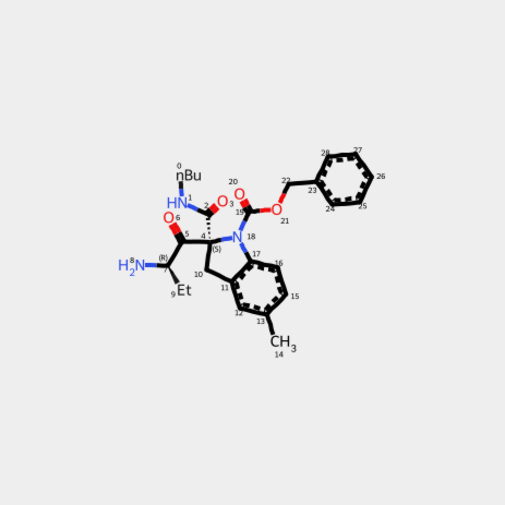 CCCCNC(=O)[C@@]1(C(=O)[C@H](N)CC)Cc2cc(C)ccc2N1C(=O)OCc1ccccc1